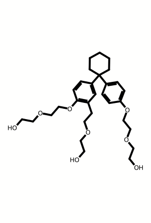 OCCOCCOc1ccc(C2(c3ccc(OCCOCCO)c(CCOCCO)c3)CCCCC2)cc1